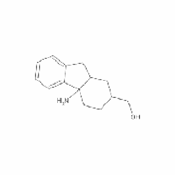 NC12CCC(CO)CC1Cc1ccccc12